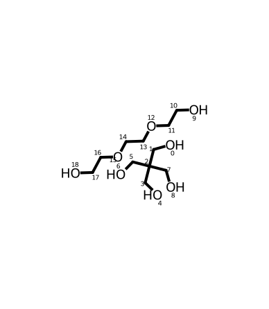 OCC(CO)(CO)CO.OCCOCCOCCO